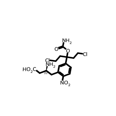 NC(=O)OC(CCCl)(CCCl)c1ccc([N+](=O)[O-])c(C[C@H](N)CC(=O)O)c1